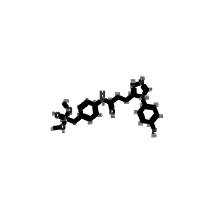 COP(=O)(Cc1ccc(NC(=O)CCc2nncn2-c2ccc(F)cc2)cc1)OC